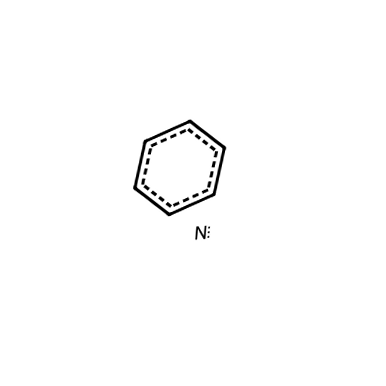 [N].c1ccccc1